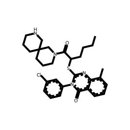 CCCCC(Sc1nc2c(C)cccc2c(=O)n1-c1cccc(Cl)c1)C(=O)N1CCCC2(CCCNC2)C1